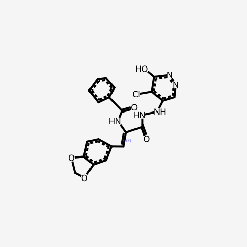 O=C(NNc1cnnc(O)c1Cl)/C(=C/c1ccc2c(c1)OCO2)NC(=O)c1ccccc1